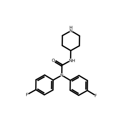 O=C(NC1CCNCC1)N(c1ccc(F)cc1)c1ccc(F)cc1